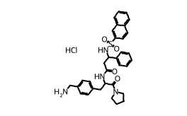 Cl.NCc1ccc(CC(NC(=O)CC(NS(=O)(=O)c2ccc3ccccc3c2)c2ccccc2)C(=O)N2CCCC2)cc1